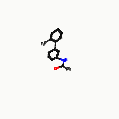 O=C(Nc1cccc(-c2[c]cccc2C(F)(F)F)c1)C(F)(F)F